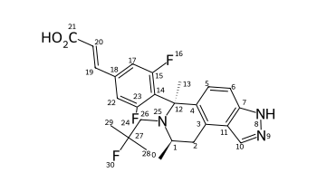 C[C@@H]1Cc2c(ccc3[nH]ncc23)[C@](C)(c2c(F)cc(/C=C/C(=O)O)cc2F)N1CC(C)(C)F